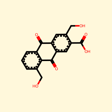 O=C(O)c1cc2c(cc1CO)C(=O)c1cccc(CO)c1C2=O